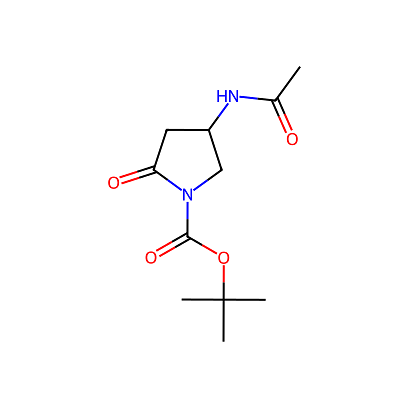 CC(=O)NC1CC(=O)N(C(=O)OC(C)(C)C)C1